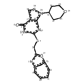 O=c1[nH]c(SCc2nc3ccccc3o2)nc2c1cnn2C1CCOCC1